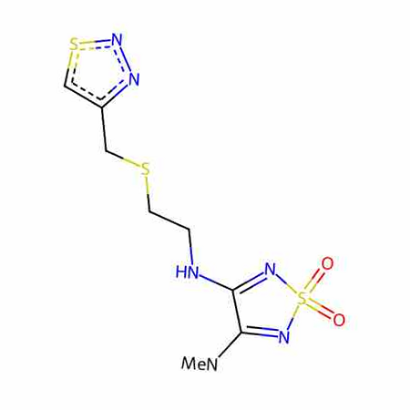 CNC1=NS(=O)(=O)N=C1NCCSCc1csnn1